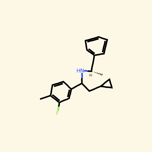 Cc1ccc(C(CC2CC2)N[C@@H](C)c2ccccc2)cc1F